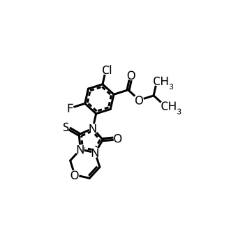 CC(C)OC(=O)c1cc(-n2c(=O)n3n(c2=S)COC=C3)c(F)cc1Cl